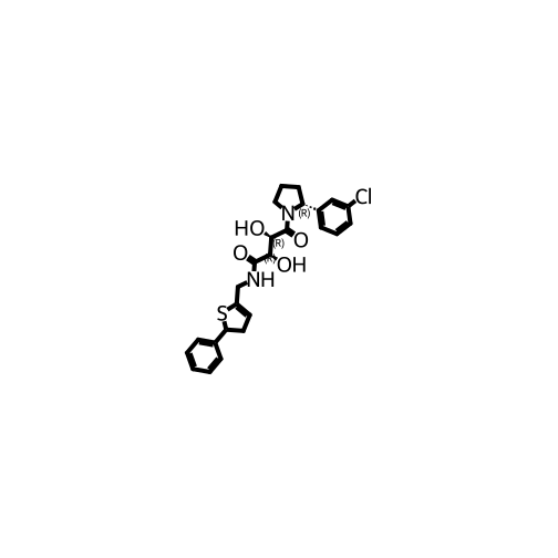 O=C(NCC1=CCC(c2ccccc2)S1)[C@H](O)[C@@H](O)C(=O)N1CCC[C@@H]1c1cccc(Cl)c1